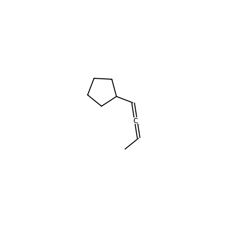 CC=C=CC1CCCC1